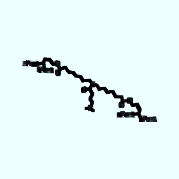 CCCCCC(/C=C\COC(=O)CCCCCCCN(CCCCCCCC(=O)OC/C=C\C(CCCCC)CCCCC)C(=O)CCCN(C)C)CCCCC